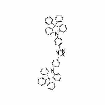 c1ccc(C2(c3ccccc3)c3ccccc3N(c3ccc(-c4nsc(-c5ccc(N6c7ccccc7C(c7ccccc7)(c7ccccc7)c7ccccc76)cc5)n4)cc3)c3ccccc32)cc1